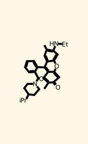 CCNc1cc2oc3cc(=O)c(C)cc-3c(-c3ccccc3C(=O)N3CCC(C(C)C)CC3)c2cc1C